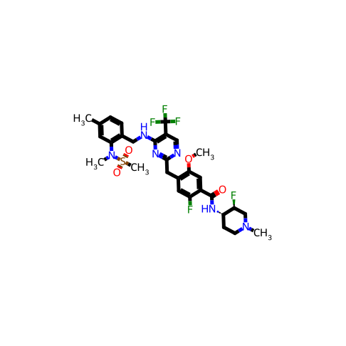 COc1cc(C(=O)N[C@H]2CCN(C)C[C@@H]2F)c(F)cc1Cc1ncc(C(F)(F)F)c(NCc2ccc(C)cc2N(C)S(C)(=O)=O)n1